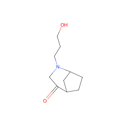 O=C1CN(CCCO)C2CCC1C2